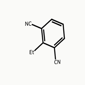 CCc1c(C#N)cccc1C#N